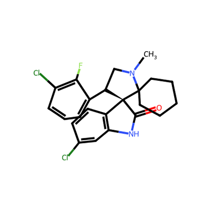 CN1CC(c2cccc(Cl)c2F)[C@]2(C(=O)Nc3cc(Cl)ccc32)C12CCCCC2